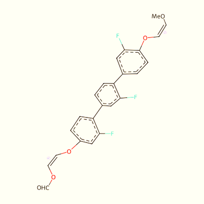 CO/C=C\Oc1ccc(-c2ccc(-c3ccc(O/C=C\OC=O)cc3F)cc2F)cc1F